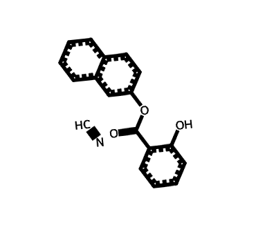 C#N.O=C(Oc1ccc2ccccc2c1)c1ccccc1O